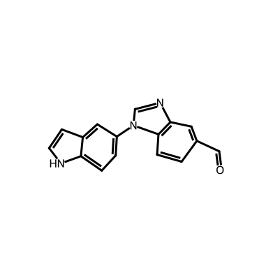 O=Cc1ccc2c(c1)ncn2-c1ccc2[nH]ccc2c1